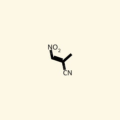 CC(C#N)=C[N+](=O)[O-]